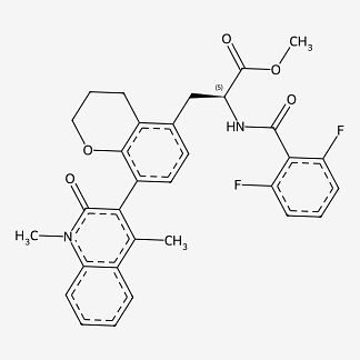 COC(=O)[C@H](Cc1ccc(-c2c(C)c3ccccc3n(C)c2=O)c2c1CCCO2)NC(=O)c1c(F)cccc1F